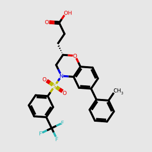 Cc1ccccc1-c1ccc2c(c1)N(S(=O)(=O)c1cccc(C(F)(F)F)c1)C[C@H](CCC(=O)O)O2